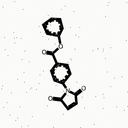 O=C(Oc1ccccc1)c1ccc(N2C(=O)C=CC2=O)cc1